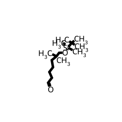 CC(C)(CCCCC=O)CO[Si](C)(C)C(C)(C)C